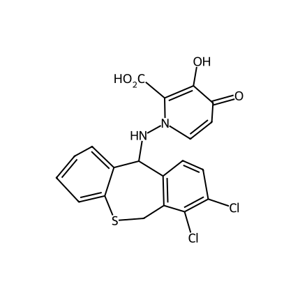 O=C(O)c1c(O)c(=O)ccn1NC1c2ccccc2SCc2c1ccc(Cl)c2Cl